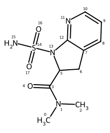 CN(C)C(=O)C1Cc2cccnc2N1S(N)(=O)=O